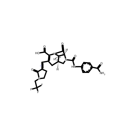 NC(=O)c1ccc(NC(=O)N2C[C@H]3CC(/C=C4\CCN(CC(F)(F)F)C4=O)=C(C(=O)O)N4C(=O)[C@@H]2[C@@H]34)cc1